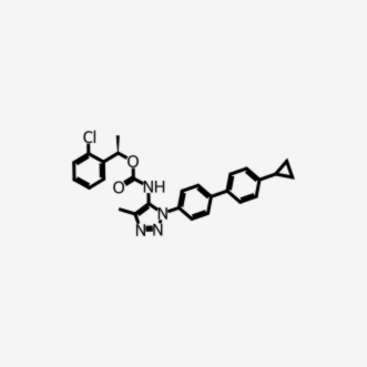 Cc1nnn(-c2ccc(-c3ccc(C4CC4)cc3)cc2)c1NC(=O)O[C@H](C)c1ccccc1Cl